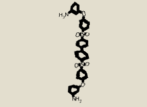 Nc1cccc(Oc2ccc(S(=O)(=O)c3ccc(-c4ccc(S(=O)(=O)c5ccc(Oc6cccc(N)c6)cc5)cc4)cc3)cc2)c1